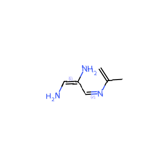 C=C(C)/N=C\C(N)=C/N